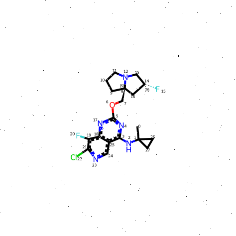 CC1(Nc2nc(OC[C@@]34CCCN3C[C@H](F)C4)nc3c(F)c(Cl)ncc23)CC1